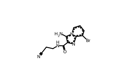 N#CCCNC(=O)c1nc2c(Br)cccn2c1N